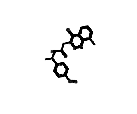 COc1ccc(C(C)NC(=O)Cn2nnc3c(C)cccc3c2=O)cc1